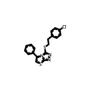 Clc1ccc(CCSc2nnc3scc(-c4ccccc4)n23)cc1